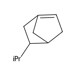 CC(C)C1CC2=CCC1C2